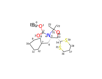 CC(C)(C)OC(=O)N1[C@@H](CC2CCCCC2)[C@@H](C2SCCCS2)OC1(C)C